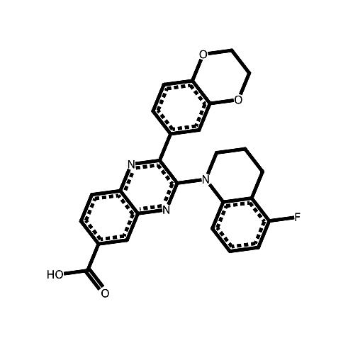 O=C(O)c1ccc2nc(-c3ccc4c(c3)OCCO4)c(N3CCCc4c(F)cccc43)nc2c1